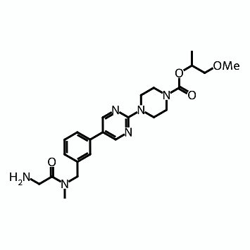 COCC(C)OC(=O)N1CCN(c2ncc(-c3cccc(CN(C)C(=O)CN)c3)cn2)CC1